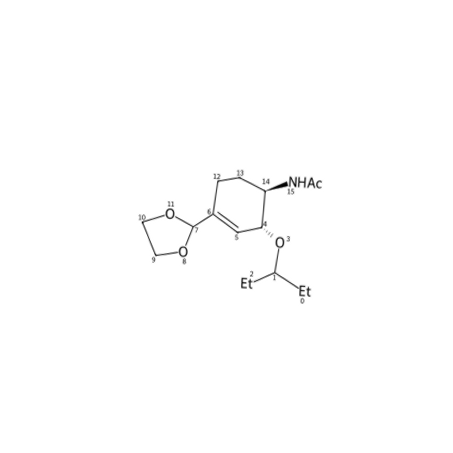 CCC(CC)O[C@@H]1C=C(C2OCCO2)CC[C@H]1NC(C)=O